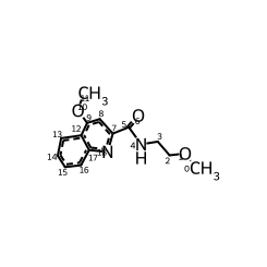 COCCNC(=O)c1cc(OC)c2ccccc2n1